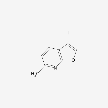 Cc1ccc2c(I)coc2n1